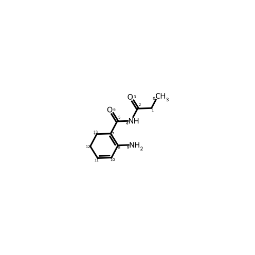 CCC(=O)NC(=O)C1=C(N)C=CC[CH]1